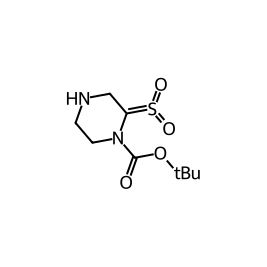 CC(C)(C)OC(=O)N1CCNCC1=S(=O)=O